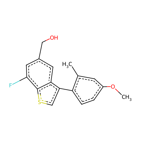 COc1ccc(-c2csc3c(F)cc(CO)cc23)c(C)c1